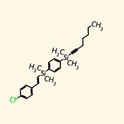 CCCCCC#C[Si](C)(C)c1ccc([Si](C)(C)C=Cc2ccc(Cl)cc2)cc1